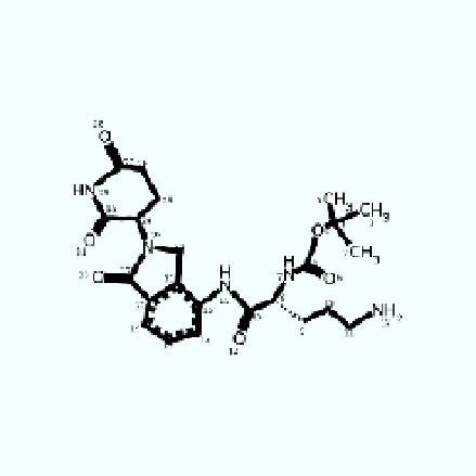 CC(C)(C)OC(=O)N[C@H](CCCN)C(=O)Nc1cccc2c1CN(C1CCC(=O)NC1=O)C2=O